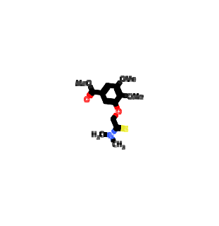 COC(=O)c1cc(OC)c(OC)c(OCC(=S)N(C)C)c1